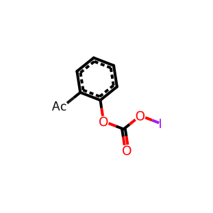 CC(=O)c1ccccc1OC(=O)OI